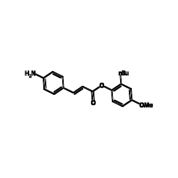 CCCCc1cc(OC)ccc1OC(=O)C=Cc1ccc(N)cc1